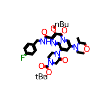 CCCCOc1c(C(=O)NCc2ccc(F)cc2)nc2c(N3CCN(C(=O)OC(C)(C)C)CC3=O)cc(N3CCOCC3C)cn2c1=O